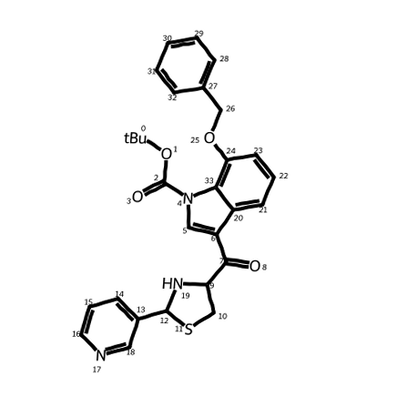 CC(C)(C)OC(=O)n1cc(C(=O)C2CSC(c3cccnc3)N2)c2cccc(OCc3ccccc3)c21